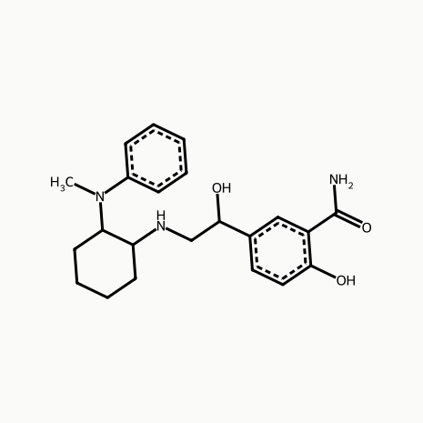 CN(c1ccccc1)C1CCCCC1NCC(O)c1ccc(O)c(C(N)=O)c1